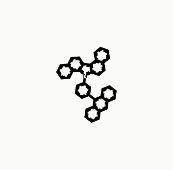 c1cc(-c2c3ccccc3cc3ccccc23)cc(-n2c3ccc4ccccc4c3c3ccc4ccccc4c32)c1